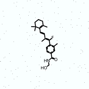 CC1=C(/C=C/C(C)=C(\F)c2ccc(C(=O)NCO)cc2C)C(C)(C)CCC1